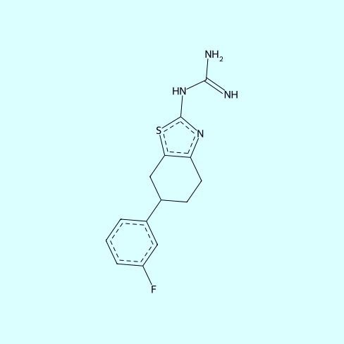 N=C(N)Nc1nc2c(s1)CC(c1cccc(F)c1)CC2